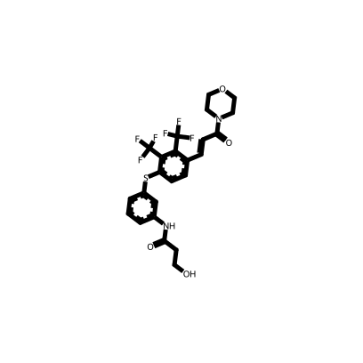 O=C(CCO)Nc1cccc(Sc2ccc(/C=C/C(=O)N3CCOCC3)c(C(F)(F)F)c2C(F)(F)F)c1